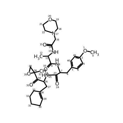 COc1ccc(CC(NC(=O)C(C)NC(=O)CN2CCOCC2)C(=O)NC(CC2=CCCCC2)C(=O)C2(C)CO2)cc1